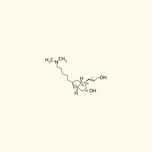 CN(C)CCCCCC1=C[C@H]2C[C@@H](O)[C@H](/C=C/CO)[C@H]2C1